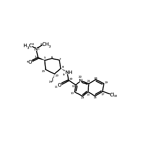 CN(C)C(=O)[C@H]1CC[C@H](NC(=O)c2ccc3cc(Cl)ccc3n2)[C@H](I)C1